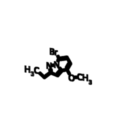 CCc1cc2c(OC)ccc(Br)n2n1